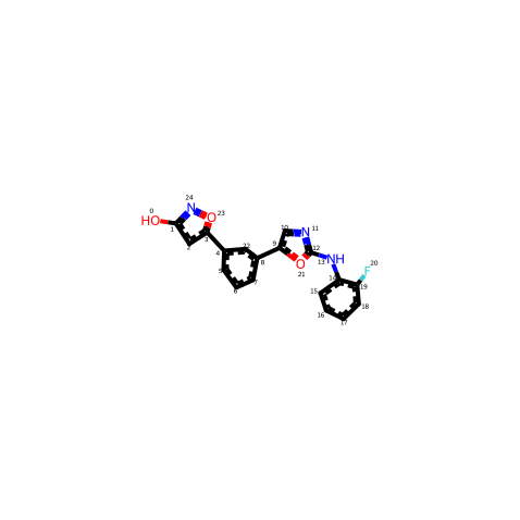 Oc1cc(-c2cccc(-c3cnc(Nc4ccccc4F)o3)c2)on1